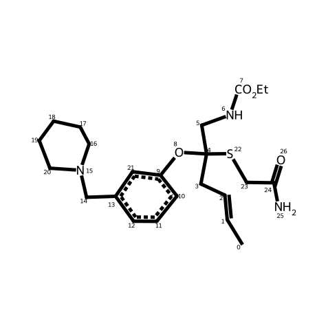 CC=CCC(CNC(=O)OCC)(Oc1cccc(CN2CCCCC2)c1)SCC(N)=O